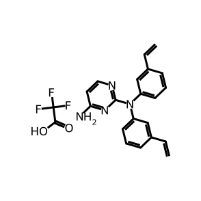 C=Cc1cccc(N(c2cccc(C=C)c2)c2nccc(N)n2)c1.O=C(O)C(F)(F)F